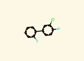 Fc1ccc(-c2cc[c]cc2F)cc1Cl